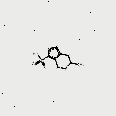 COC1CCc2c(csc2S(=N)(N)=O)C1